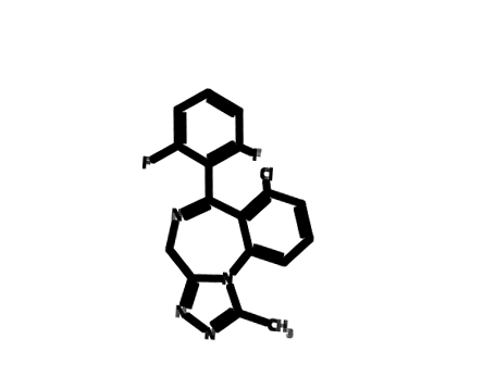 Cc1nnc2n1-c1cccc(Cl)c1C(c1c(F)cccc1F)=NC2